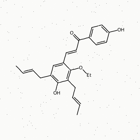 C/C=C/Cc1cc(/C=C/C(=O)c2ccc(O)cc2)c(OCC)c(C/C=C/C)c1O